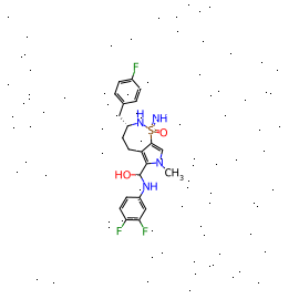 Cn1cc2c(c1C(O)Nc1ccc(F)c(F)c1)CC[C@H](Cc1ccc(F)cc1)NS2(=N)=O